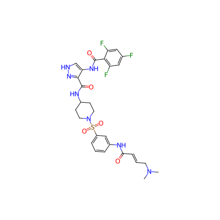 CN(C)C/C=C/C(=O)Nc1cccc(S(=O)(=O)N2CCC(NC(=O)c3n[nH]cc3NC(=O)c3c(F)cc(F)cc3F)CC2)c1